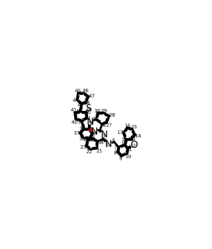 C=N/C(=N\C(=N/Cc1cccc2oc3ccccc3c12)c1ccccc1)c1ccccc1-n1c2ccccc2c2ccc3c4ccccc4sc3c21